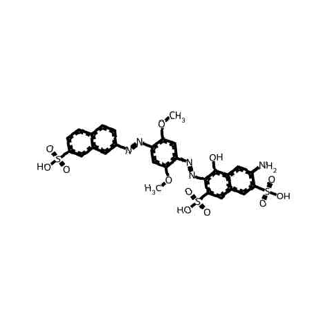 COc1cc(N=Nc2c(S(=O)(=O)O)cc3cc(S(=O)(=O)O)c(N)cc3c2O)c(OC)cc1N=Nc1ccc2ccc(S(=O)(=O)O)cc2c1